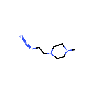 CN1CCN(CCN=[N+]=N)CC1